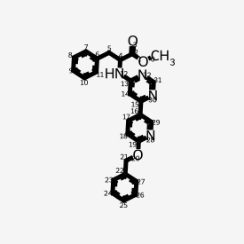 COC(=O)C(Cc1ccccc1)Nc1cc(-c2ccc(OCc3ccccc3)nc2)ncn1